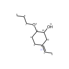 C/C=C1/CCC(OCCC)C(O)C1